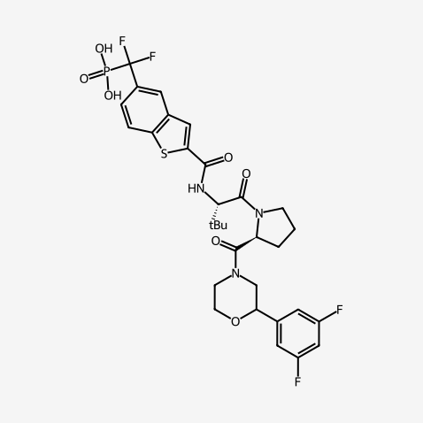 CC(C)(C)[C@H](NC(=O)c1cc2cc(C(F)(F)P(=O)(O)O)ccc2s1)C(=O)N1CCC[C@H]1C(=O)N1CCOC(c2cc(F)cc(F)c2)C1